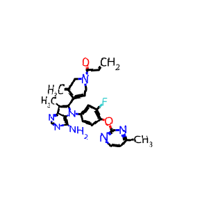 C=CC(=O)N1CC=C(c2c(C)c3ncnc(N)c3n2-c2ccc(Oc3nccc(C)n3)c(F)c2)C(C)C1